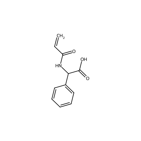 C=CC(=O)NC(C(=O)O)c1ccccc1